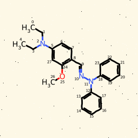 CCN(CC)c1ccc(C=NN(c2ccccc2)c2ccccc2)c(OC)c1